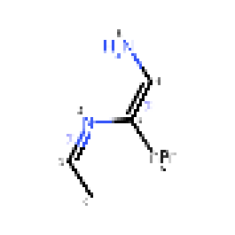 C/C=N\C(=C/N)CCC